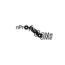 CCCc1ccc(-c2csc(N3CCC(S(=O)(=O)c4ccc(OC)c(OC)c4)CC3)n2)cc1